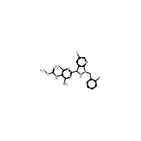 COC(=O)Nc1c(N)nc(C2NN(Cc3ccccc3F)c3ncc(F)cc32)nc1N